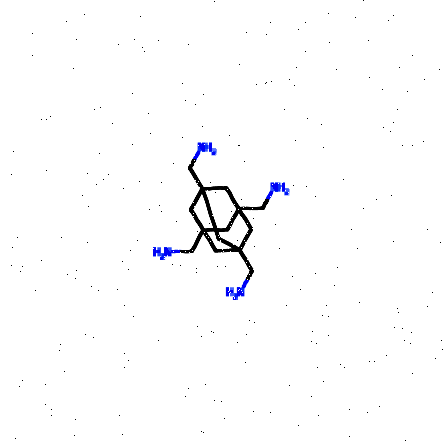 NCC12CC3(CN)CC(CN)(C1)CC(CN)(C2)C3